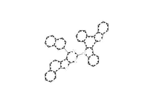 c1ccc2cc(-c3nc(-n4c5ccccc5c5c6sc7ccccc7c6c6ccccc6c54)nc4oc5c6ccccc6ccc5c34)ccc2c1